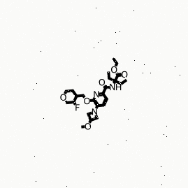 CCOC(=O)C(CC)(CC)NC(=O)c1ccc(N2CC(OC)C2)c(OCC2CCOCC2F)n1